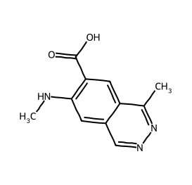 CNc1cc2cnnc(C)c2cc1C(=O)O